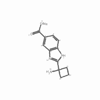 COC(=O)c1ccc2[nH]c(C3(N)CCC3)nc2c1